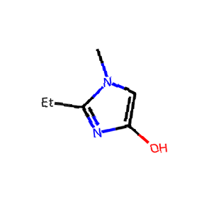 CCc1nc(O)cn1C